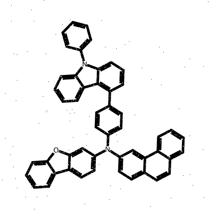 c1ccc(-n2c3ccccc3c3c(-c4ccc(N(c5ccc6c(c5)oc5ccccc56)c5ccc6ccc7ccccc7c6c5)cc4)cccc32)cc1